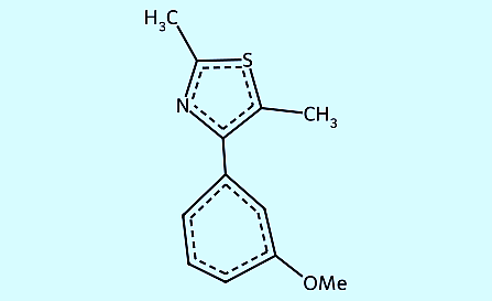 COc1cccc(-c2nc(C)sc2C)c1